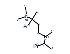 CC(C)C(C)N(C)CCC(C)(C(C)C)N(C)C